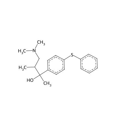 CC(CN(C)C)C(C)(O)c1ccc(Sc2ccccc2)cc1